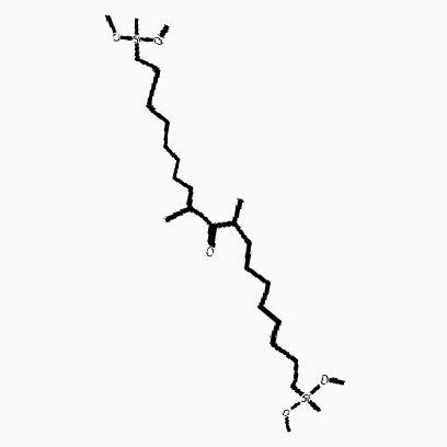 CO[Si](C)(CCCCCCCCC(C)C(=O)C(C)CCCCCCCC[Si](C)(OC)OC)OC